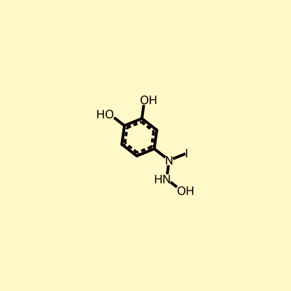 ONN(I)c1ccc(O)c(O)c1